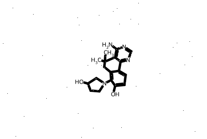 CC1(C)Cc2c(ccc(O)c2N2CCC(O)C2)-c2ncnc(N)c21